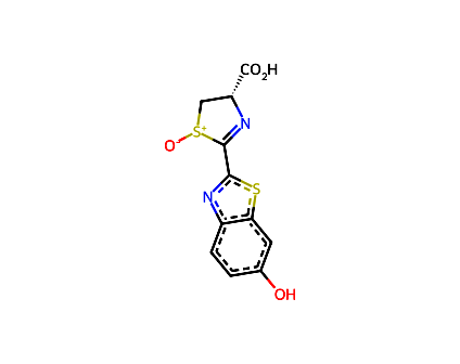 O=C(O)[C@H]1C[S+]([O-])C(c2nc3ccc(O)cc3s2)=N1